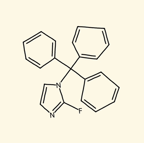 Fc1nccn1C(c1ccccc1)(c1ccccc1)c1ccccc1